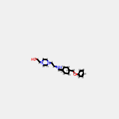 OCCN1CCN(CCNC=C2CCC(COc3ccccc3)CC2)CC1